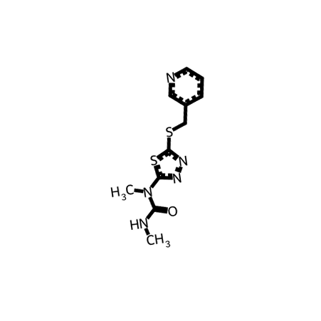 CNC(=O)N(C)c1nnc(SCc2cccnc2)s1